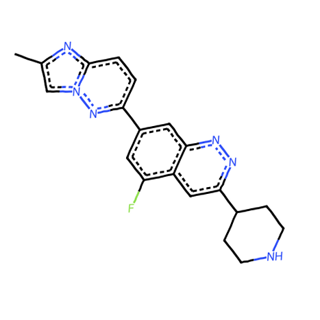 Cc1cn2nc(-c3cc(F)c4cc(C5CCNCC5)nnc4c3)ccc2n1